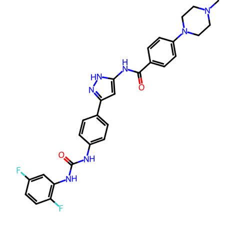 CN1CCN(c2ccc(C(=O)Nc3cc(-c4ccc(NC(=O)Nc5cc(F)ccc5F)cc4)n[nH]3)cc2)CC1